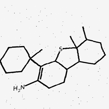 CC1CCCC2C3CCC(N)=C(C4(C)CCCCC4)C3SC12C